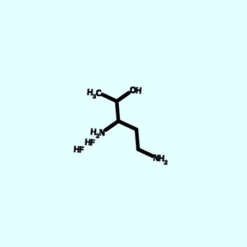 CC(O)C(N)CCN.F.F